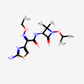 CSC(ON1C(=O)[C@@H](NC(=O)/C(=N\OCC(=O)O)c2csc(N)n2)C1(C)C)C(=O)O